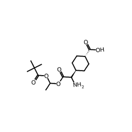 CC(OC(=O)C(N)[C@H]1CC[C@H](C(=O)O)CC1)OC(=O)C(C)(C)C